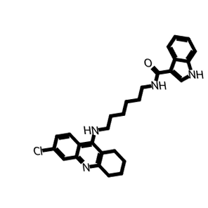 O=C(NCCCCCCNc1c2c(nc3cc(Cl)ccc13)CCCC2)c1c[nH]c2ccccc12